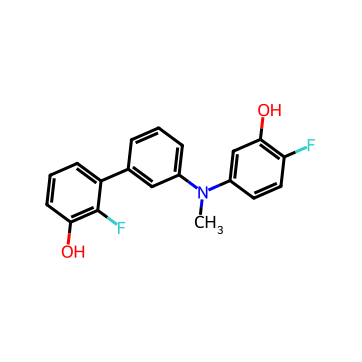 CN(c1cccc(-c2cccc(O)c2F)c1)c1ccc(F)c(O)c1